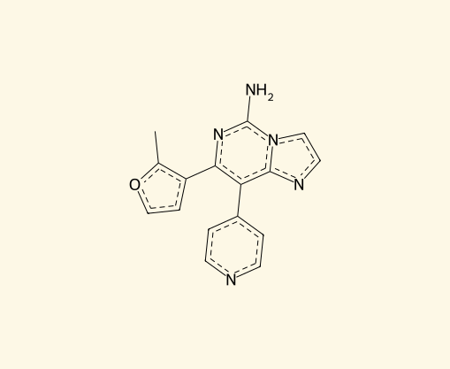 Cc1occc1-c1nc(N)n2ccnc2c1-c1ccncc1